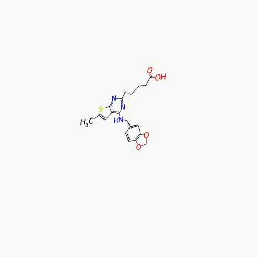 Cc1cc2c(NCc3ccc4c(c3)OCO4)nc(CCCCC(=O)O)nc2s1